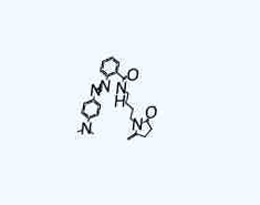 C=C1CCC(=O)N1CCCCNC(=O)c1ccccc1/N=N/c1ccc(N(C)C)cc1